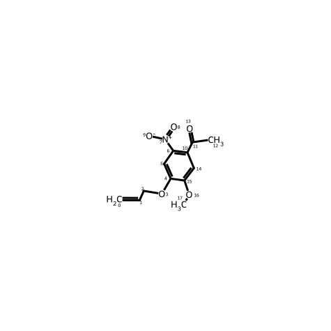 C=CCOc1cc([N+](=O)[O-])c(C(C)=O)cc1OC